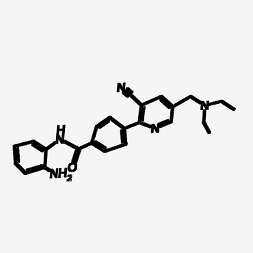 CCN(CC)Cc1cnc(-c2ccc(C(=O)Nc3ccccc3N)cc2)c(C#N)c1